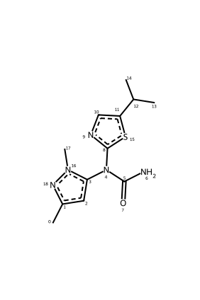 Cc1cc(N(C(N)=O)c2ncc(C(C)C)s2)n(C)n1